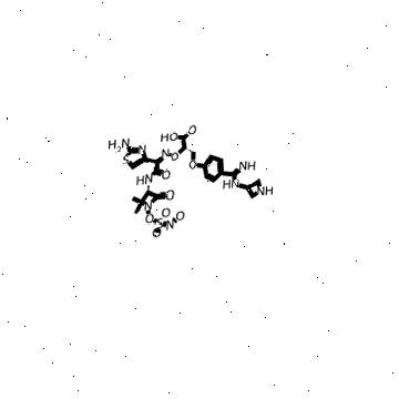 CC1(C)[C@H](NC(=O)/C(=N\O[C@@H](COc2ccc(C(=N)NC3CNC3)cc2)C(=O)O)c2csc(N)n2)C(=O)N1OS(=O)(=O)N=O